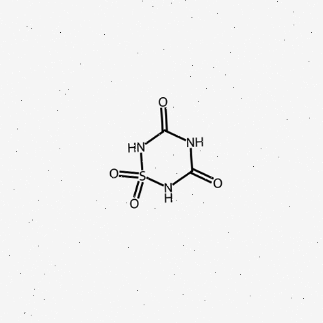 O=C1NC(=O)NS(=O)(=O)N1